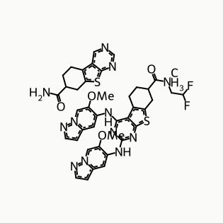 COc1cn2nccc2cc1Nc1nc(Nc2cc3ccnn3cc2OC)c2c3c(sc2n1)CC(C(=O)N(C)CC(F)F)CC3.NC(=O)C1CCc2c(sc3ncncc23)C1